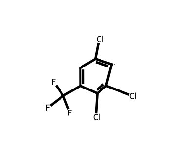 FC(F)(F)c1cc(Cl)[c]c(Cl)c1Cl